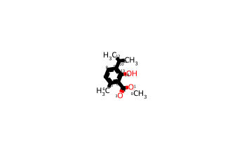 COC(=O)c1c(C)ccc(C(C)C)c1O